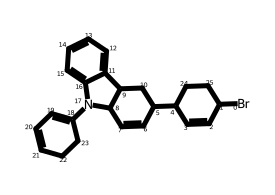 BrC1C=CC(C2C=CC3C(C2)c2ccccc2N3C2=CC=CCC2)CC1